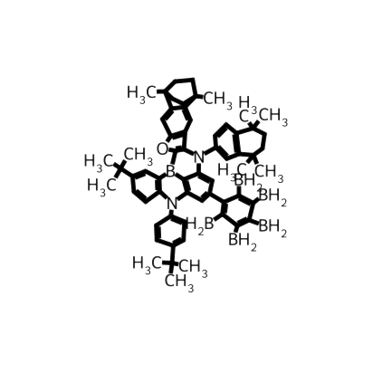 Bc1c(B)c(B)c(-c2cc3c4c(c2)N(c2ccc5c(c2)C(C)(C)CCC5(C)C)c2c(oc5cc6c(cc25)C2(C)CCC6(C)CC2)B4c2cc(C(C)(C)C)ccc2N3c2ccc(C(C)(C)C)cc2)c(B)c1B